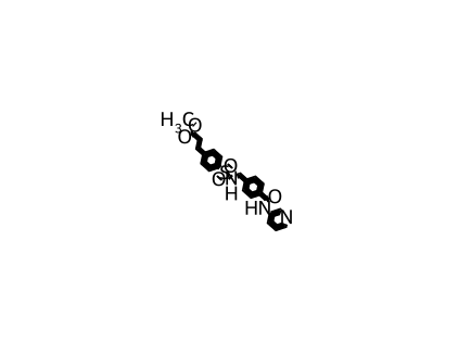 COC(=O)CCc1ccc(S(=O)(=O)NCc2ccc(C(=O)Nc3cccnc3)cc2)cc1